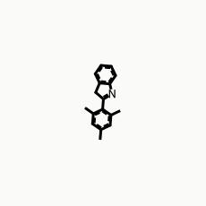 Cc1cc(C)c(C2=Nc3ccccc3C2)c(C)c1